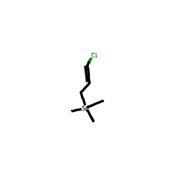 C[Si](C)(C)CC=CCl